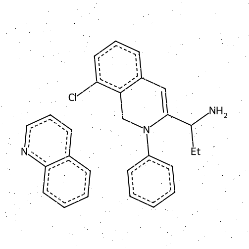 CCC(N)C1=Cc2cccc(Cl)c2CN1c1ccccc1.c1ccc2ncccc2c1